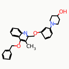 Cc1c(COc2cccc(N3CCC(O)CC3)c2)nc2ccccc2c1OCc1ccccc1